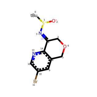 CC(C)(C)[S+]([O-])/N=C1\COCc2cc(Br)cnc21